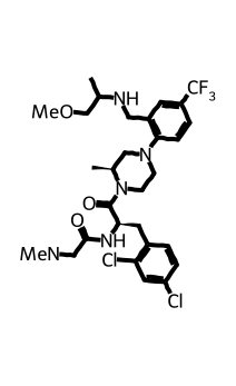 CNCC(=O)N[C@H](Cc1ccc(Cl)cc1Cl)C(=O)N1CCN(c2ccc(C(F)(F)F)cc2CNC(C)COC)C[C@@H]1C